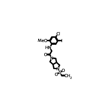 C=CS(=O)(=O)N1CC2CN(C(=O)CNc3cc(I)c(Cl)cc3OC)CC2C1